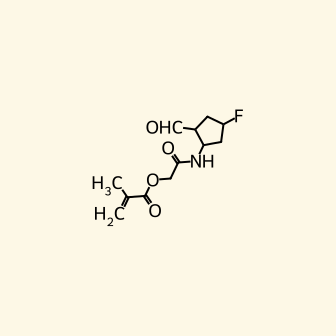 C=C(C)C(=O)OCC(=O)NC1CC(F)CC1C=O